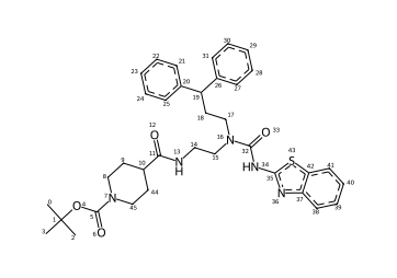 CC(C)(C)OC(=O)N1CCC(C(=O)NCCN(CCC(c2ccccc2)c2ccccc2)C(=O)Nc2nc3ccccc3s2)CC1